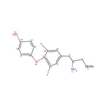 CC(=O)NCC(N)Cc1cc(I)c(Oc2ccc(O)cc2)c(I)c1